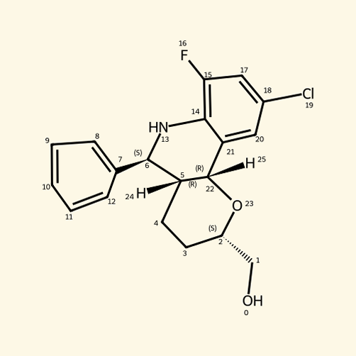 OC[C@@H]1CC[C@@H]2[C@@H](c3ccccc3)Nc3c(F)cc(Cl)cc3[C@@H]2O1